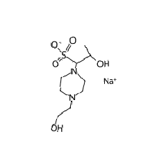 CC(O)C(N1CCN(CCO)CC1)S(=O)(=O)[O-].[Na+]